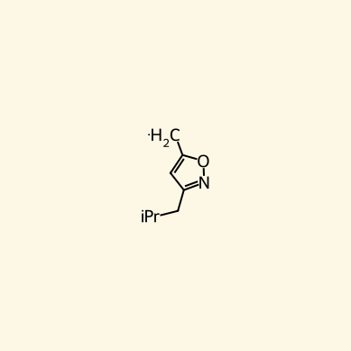 [CH2]c1cc(CC(C)C)no1